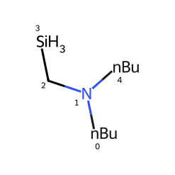 CCCCN(C[SiH3])CCCC